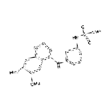 CNS(=O)(=O)Nc1cccc(Nc2ncnc3cc(OC)c(OC)cc23)c1